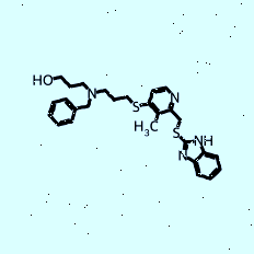 Cc1c(SCCCN(CCCO)Cc2ccccc2)ccnc1CSc1nc2ccccc2[nH]1